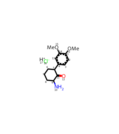 COc1ccc(C2CCCC(N)C2=O)cc1OC.[Cl-].[H+]